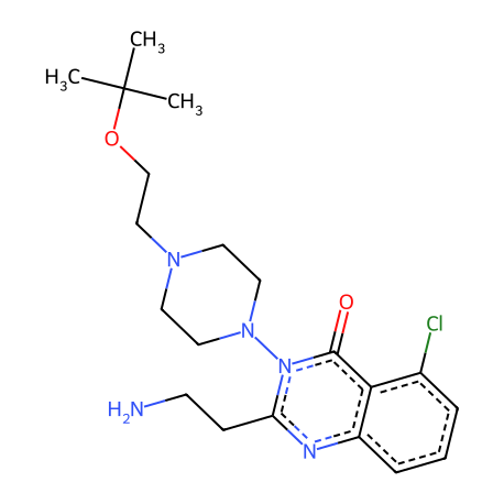 CC(C)(C)OCCN1CCN(n2c(CCN)nc3cccc(Cl)c3c2=O)CC1